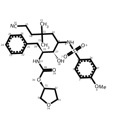 COc1ccc(S(=O)(=O)NC(CC(C)(C)CCC#N)[C@H](O)[C@H](Cc2ccccc2)NC(=O)O[C@H]2CCOC2)cc1